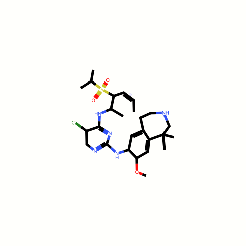 C/C=C\C(C(C)NC1=NC(NC2C=C3CCNCC(C)(C)C3=CC2OC)=NCC1Cl)S(=O)(=O)C(C)C